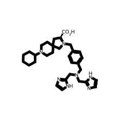 O=C(O)[C@@H]1CC2(CCN(C3CCCCC3)CC2)CN1Cc1ccc(CN(Cc2ncc[nH]2)Cc2ncc[nH]2)cc1